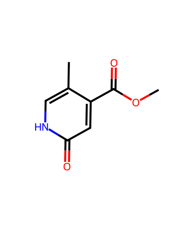 COC(=O)c1cc(=O)[nH]cc1C